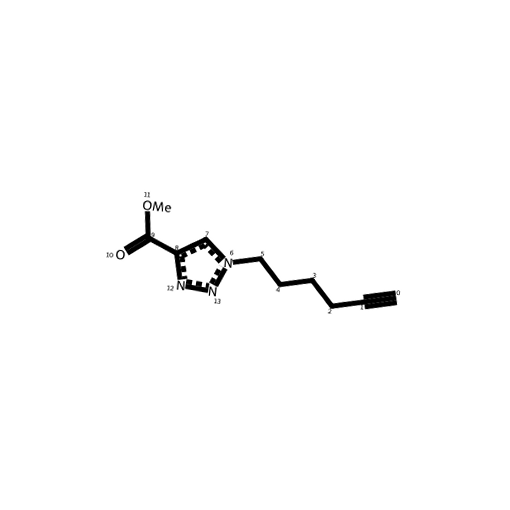 C#CCCCCn1cc(C(=O)OC)nn1